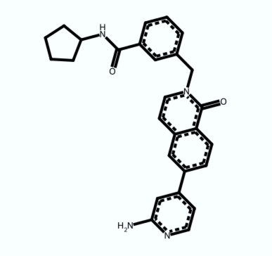 Nc1cc(-c2ccc3c(=O)n(Cc4cccc(C(=O)NC5CCCC5)c4)ccc3c2)ccn1